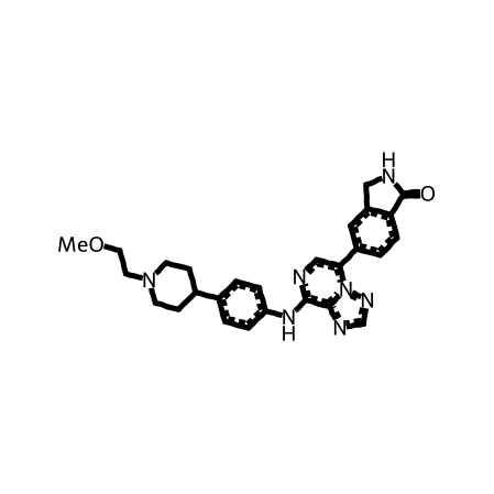 COCCN1CCC(c2ccc(Nc3ncc(-c4ccc5c(c4)CNC5=O)n4ncnc34)cc2)CC1